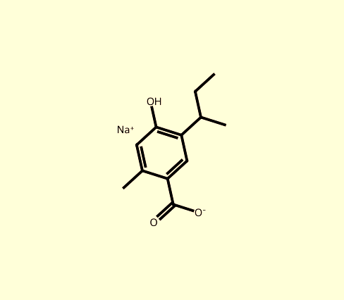 CCC(C)c1cc(C(=O)[O-])c(C)cc1O.[Na+]